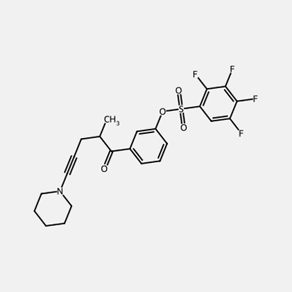 CC(CC#CN1CCCCC1)C(=O)c1cccc(OS(=O)(=O)c2cc(F)c(F)c(F)c2F)c1